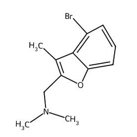 Cc1c(CN(C)C)oc2cccc(Br)c12